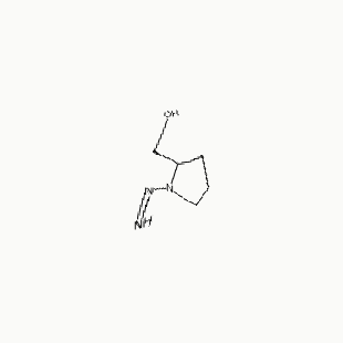 N=NN1CCCC1CO